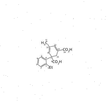 CCc1ccccc1C1(C(=O)O)C=C(C)C=C(C(=O)O)C1